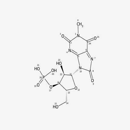 CN1C(=O)N=C2C(=NC(=O)N2[C@@H]2O[C@H](CO)[C@@H](OP(=O)(O)O)[C@H]2O)C1=O